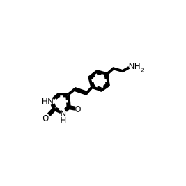 NCCc1ccc(C=Cc2c[nH]c(=O)[nH]c2=O)cc1